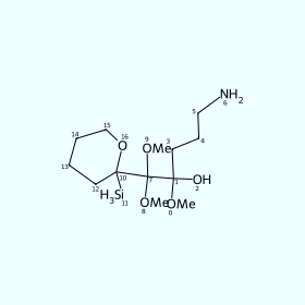 COC(O)(CCCN)C(OC)(OC)C1([SiH3])CCCCO1